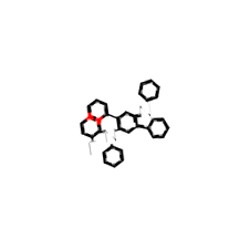 Fc1ccccc1N(c1ccccc1)c1cc2c3ccccc3n(-c3ccccc3)c2cc1-c1ccccc1